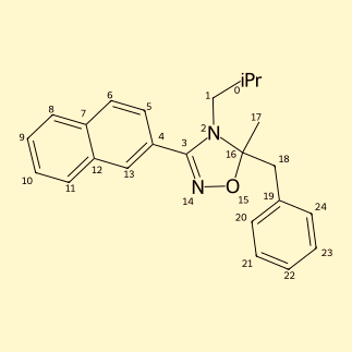 CC(C)CN1C(c2ccc3ccccc3c2)=NOC1(C)Cc1ccccc1